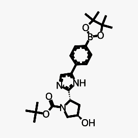 CC(C)(C)OC(=O)N1C[C@H](O)C[C@H]1c1ncc(-c2ccc(B3OC(C)(C)C(C)(C)O3)cc2)[nH]1